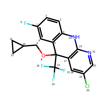 Fc1ccc2c(c1)C(OCC1CC1)(C(F)(F)F)c1cc(Cl)cnc1N2